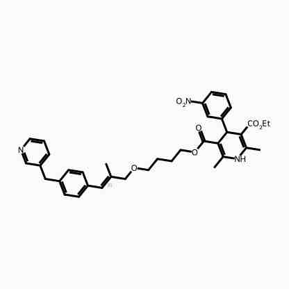 CCOC(=O)C1=C(C)NC(C)=C(C(=O)OCCCCOC/C(C)=C/c2ccc(Cc3cccnc3)cc2)C1c1cccc([N+](=O)[O-])c1